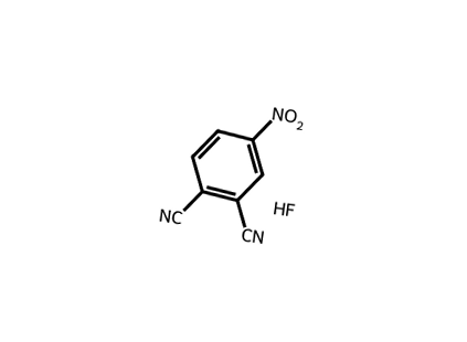 F.N#Cc1ccc([N+](=O)[O-])cc1C#N